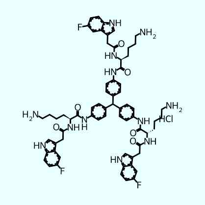 Cl.NCCCC[C@H](NC(=O)Cc1c[nH]c2ccc(F)cc12)C(=O)Nc1ccc(C(c2ccc(NC(=O)[C@H](CCCCN)NC(=O)Cc3c[nH]c4ccc(F)cc34)cc2)c2ccc(NC(=O)[C@H](CCCCN)NC(=O)Cc3c[nH]c4ccc(F)cc34)cc2)cc1